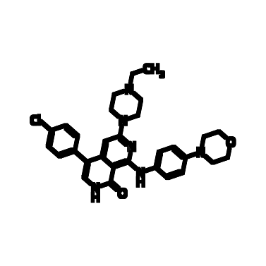 CCN1CCN(c2cc3c(-c4ccc(Cl)cc4)c[nH]c(=O)c3c(Nc3ccc(N4CCOCC4)cc3)n2)CC1